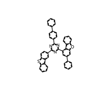 c1ccc(-c2ccc(-c3nc(-c4ccc5sc6ccccc6c5c4)nc(-c4cc(-c5ccccc5)cc5oc6ccccc6c45)n3)cc2)cc1